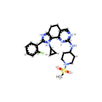 CS(=O)(=O)N1CCC(Nc2ncc3c(n2)-c2c(nc(-c4ccccc4F)n2C2CC2)CC3)CC1